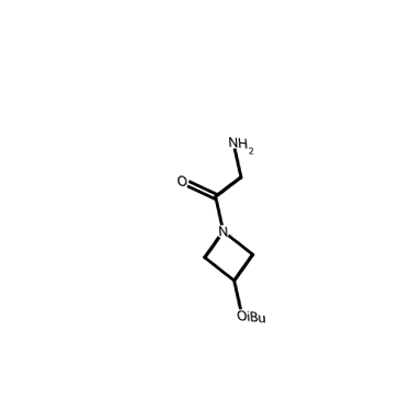 CC(C)COC1CN(C(=O)CN)C1